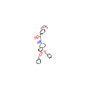 COc1cccc(C(O)CNC2CCCc3c(ccc(OCc4ccccc4)c3OCc3ccccc3)C2)c1